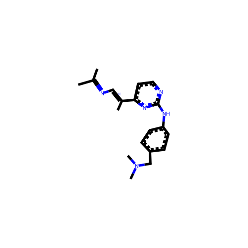 CC(C)=N/C=C(\C)c1ccnc(Nc2ccc(CN(C)C)cc2)n1